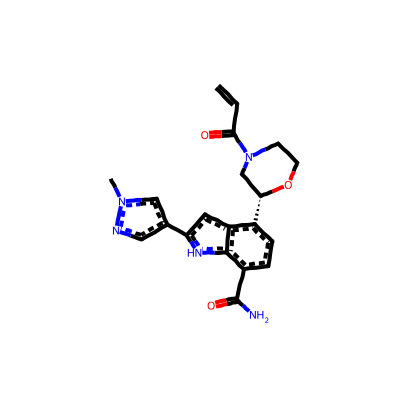 C=CC(=O)N1CCO[C@H](c2ccc(C(N)=O)c3[nH]c(-c4cnn(C)c4)cc23)C1